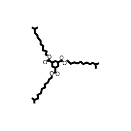 CC(C)CCCCCCCCCOC(=O)C1CC(C(=O)OCCCCCCCCCC(C)C)CC(C(=O)OCCCCCCCCCC(C)C)C1